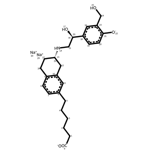 O=C([O-])CCCCCc1ccc2c(c1)C[C@@H](NC[C@@H](O)c1ccc([O-])c(CO)c1)CC2.[Na+].[Na+]